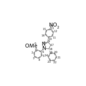 COc1ccccc1N1N=C(c2ccc([N+](=O)[O-])cc2)C[C@@H]1c1ccccc1